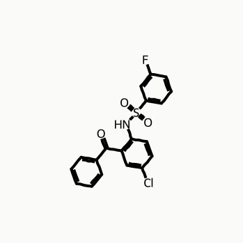 O=C(c1ccccc1)c1cc(Cl)ccc1NS(=O)(=O)c1cccc(F)c1